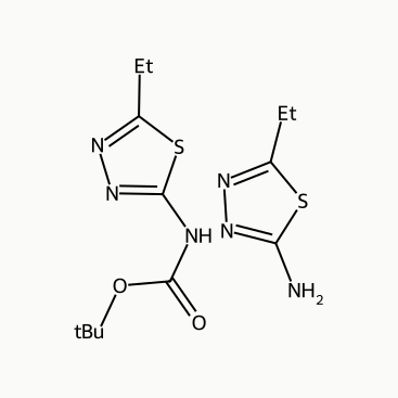 CCc1nnc(N)s1.CCc1nnc(NC(=O)OC(C)(C)C)s1